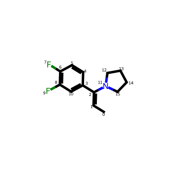 CC=C(c1ccc(F)c(F)c1)N1CCCC1